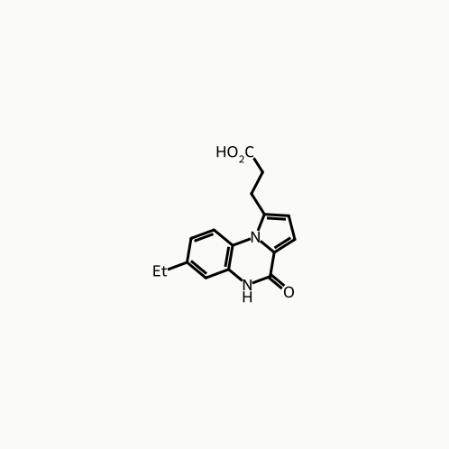 CCc1ccc2c(c1)[nH]c(=O)c1ccc(CCC(=O)O)n12